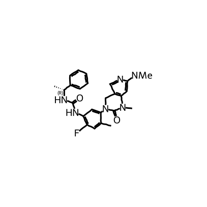 CNc1cc2c(cn1)CN(c1cc(NC(=O)N[C@H](C)c3ccccc3)c(F)cc1C)C(=O)N2C